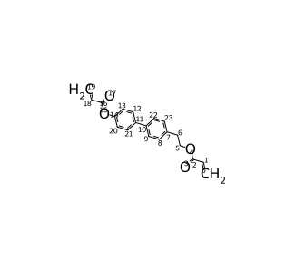 C=CC(=O)OCCc1ccc(-c2ccc(OC(=O)C=C)cc2)cc1